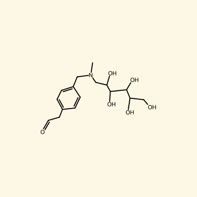 CN(Cc1ccc(CC=O)cc1)CC(O)C(O)C(O)C(O)CO